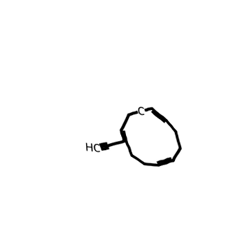 C#C/C1=C/CC/C=C\CC/C=C\CC1